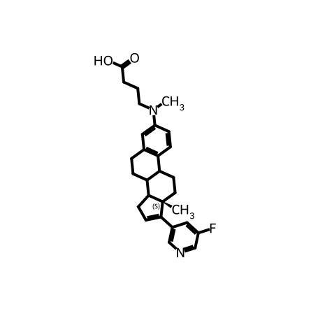 CN(CCCC(=O)O)c1ccc2c(c1)CCC1C2CC[C@]2(C)C(c3cncc(F)c3)=CCC12